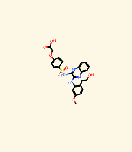 COc1ccc(CCO)c(Nc2nc3ccccc3nc2NS(=O)(=O)c2ccc(OCC(=O)O)cc2)c1